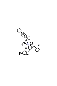 O=C(/C=C(\O)c1cc(Cc2c(F)cc(F)cc2F)cn(Cc2ccccc2F)c1=O)C(=O)N1CCN(c2ccccc2)CC1